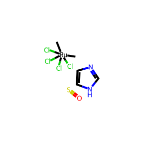 O=S.[CH3][Ru]([CH3])([Cl])([Cl])([Cl])[Cl].c1c[nH]cn1